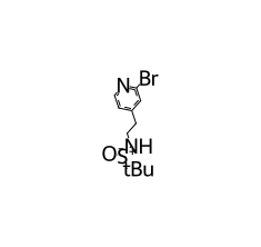 CC(C)(C)[S@+]([O-])NCCc1ccnc(Br)c1